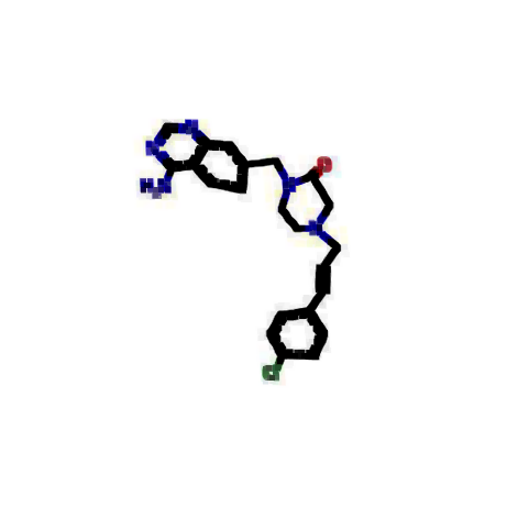 Nc1ncnc2cc(CN3CCN(CC#Cc4ccc(Cl)cc4)CC3=O)ccc12